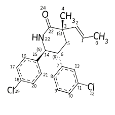 CC=C[C@]1(C)C[C@H](c2cccc(Cl)c2)[C@@H](c2ccc(Cl)cc2)NC1=O